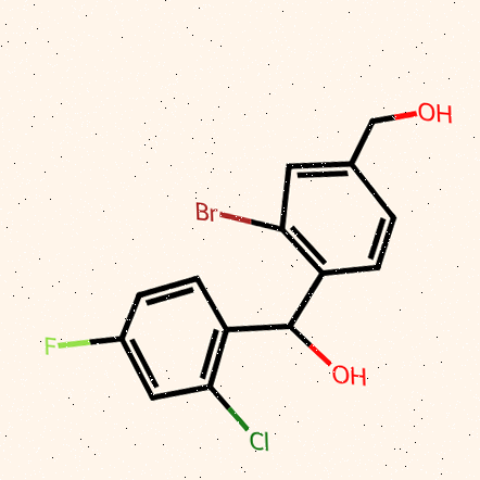 OCc1ccc(C(O)c2ccc(F)cc2Cl)c(Br)c1